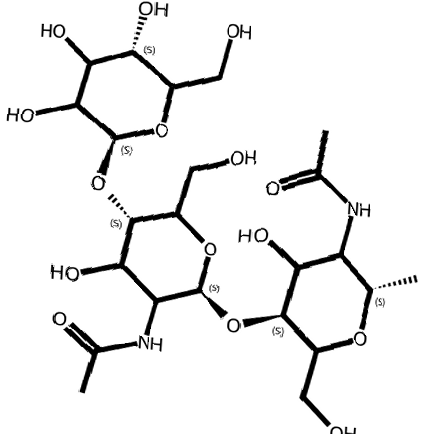 CC(=O)NC1C(O)[C@H](O[C@@H]2OC(CO)[C@@H](O)C(O)C2O)C(CO)O[C@H]1O[C@@H]1C(CO)O[C@@H](C)C(NC(C)=O)C1O